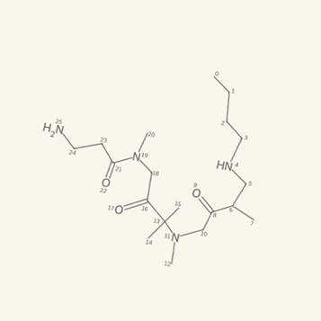 CCCCNCC(C)C(=O)CN(C)C(C)(C)C(=O)CN(C)C(=O)CCN